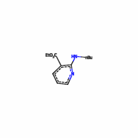 CCCCNc1ncccc1C(=O)OCC